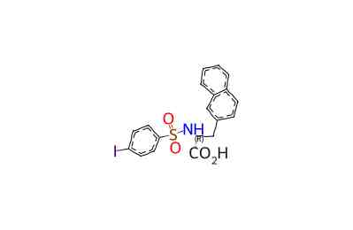 O=C(O)[C@@H](Cc1ccc2ccccc2c1)NS(=O)(=O)c1ccc(I)cc1